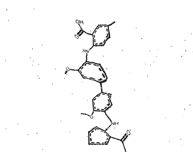 COc1cc(-c2ccc(Nc3ccc(C)cc3C(=O)O)c(OC)c2)ccc1Nc1ccccc1C(=O)O